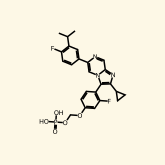 CC(C)c1cc(-c2cn3c(-c4ccc(OCOP(=O)(O)O)cc4F)c(C4CC4)nc3cn2)ccc1F